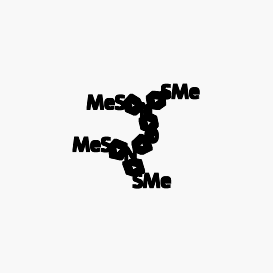 CSc1ccc(N(c2ccc(Oc3ccc(N(c4ccc(SC)cc4)c4ccc(SC)cc4)cc3)cc2)c2ccc(SC)cc2)cc1